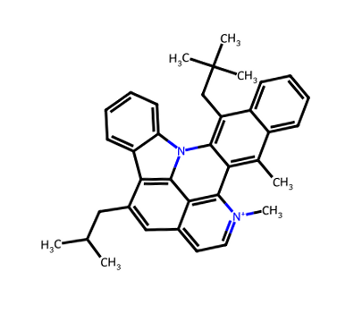 Cc1c2ccccc2c(CC(C)(C)C)c2c1c1c3c(cc[n+]1C)cc(CC(C)C)c1c4ccccc4n2c13